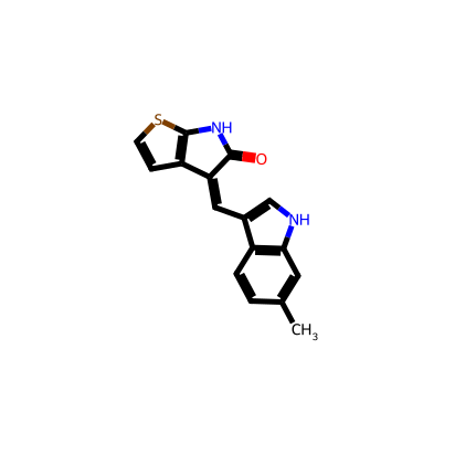 Cc1ccc2c(C=C3C(=O)Nc4sccc43)c[nH]c2c1